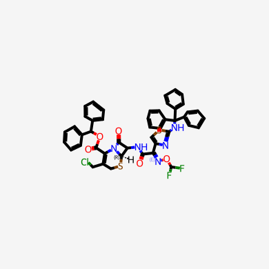 O=C(OC(c1ccccc1)c1ccccc1)C1=C(CCl)CS[C@@H]2C(NC(=O)/C(=N/OC(F)F)c3csc(NC(c4ccccc4)(c4ccccc4)c4ccccc4)n3)C(=O)N12